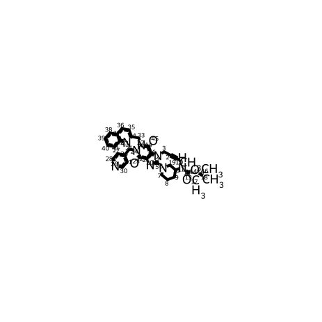 CC#CCn1c(N2CCCC(NC(=O)OC(C)(C)C)C2)nc2c(=O)n(Cc3ccncc3)n(Cc3ccc4ccccc4n3)c(=O)c21